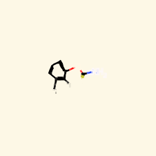 CCCc1cccc(OC(N)=S)c1CCC